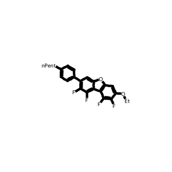 CCCCCc1ccc(-c2cc3oc4cc(OCC)c(F)c(F)c4c3c(F)c2F)cc1